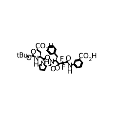 CC(C)(C)OC(=O)N[C@@H](CCC(=O)O)C(=O)N1CCC[C@H]1C(=O)N[C@@H](Cc1ccccc1)C(=O)C(F)(F)C(=O)Nc1cccc(C(=O)O)c1